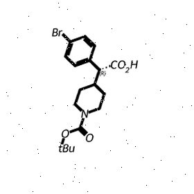 CC(C)(C)OC(=O)N1CCC([C@@H](C(=O)O)c2ccc(Br)cc2)CC1